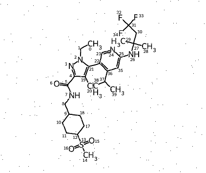 CCn1nc(C(=O)NCC2CCC(S(C)(=O)=O)CC2)c(Cl)c1-c1cnc(NC(C)(C)CC(F)(F)F)cc1C(C)C